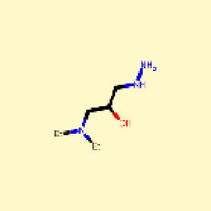 CCN(CC)CC(O)CNN